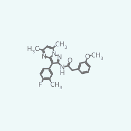 COc1cccc(CC(=O)Nc2nn3c(C)cc(C)nc3c2-c2ccc(F)c(C)c2)c1